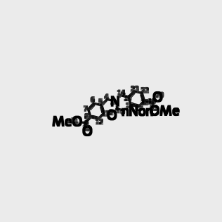 CCCCCCCCCC(=O)N(Cc1ccc(C(=O)OC)cc1)Cc1ccc(C(=O)OC)cc1